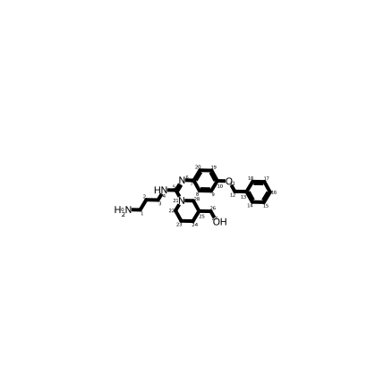 NCCCN/C(=N/c1ccc(OCc2ccccc2)cc1)N1CCCC(CO)C1